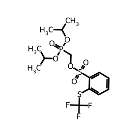 CC(C)OP(=O)(COS(=O)(=O)c1ccccc1SC(F)(F)F)OC(C)C